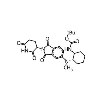 CN(c1ccc2c(c1)C(=O)N(C1CCC(=O)NC1=O)C2=O)[C@H]1CCCC[C@@H]1NC(=O)OC(C)(C)C